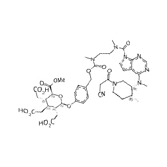 COC(=O)[C@H]1O[C@@H](Oc2ccc(COC(=O)N(C)CCN(C)C(=O)n3ccc4c(N(C)[C@H]5CN(C(=O)CC#N)CC[C@H]5C)ncnc43)cc2)[C@H](CC(=O)O)[C@@H](CC(=O)O)[C@@H]1CC(=O)O